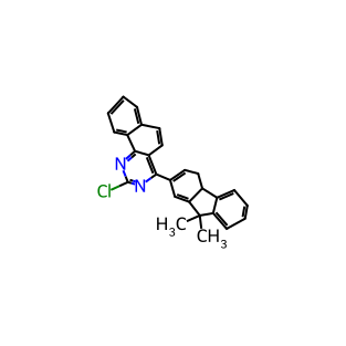 CC1(C)C2=CC(c3nc(Cl)nc4c3ccc3ccccc34)=CCC2c2ccccc21